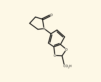 O=C(O)C1Oc2ccc(N3CCCC3=O)cc2O1